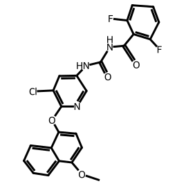 COc1ccc(Oc2ncc(NC(=O)NC(=O)c3c(F)cccc3F)cc2Cl)c2ccccc12